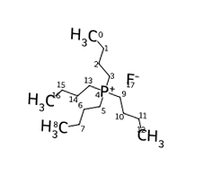 CCCC[P+](CCCC)(CCCC)CCCC.[F-]